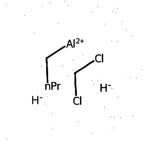 CCC[CH2][Al+2].ClCCl.[H-].[H-]